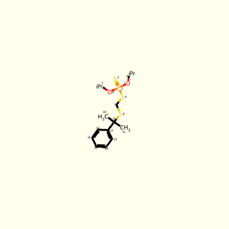 CC(C)OP(=S)(OC(C)C)SCSC(C)(C)c1ccccc1